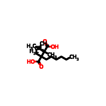 CCCCCCC(CC)(C(=O)O)C(C)(C(=O)O)C(C)(C)C